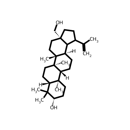 C=C(C)C1CC[C@]2(CO)CC[C@]3(C)[C@H](CC[C@@H]4[C@@]5(C)CC[C@H](O)C(C)(C)[C@@H]5CC[C@]43C)C12